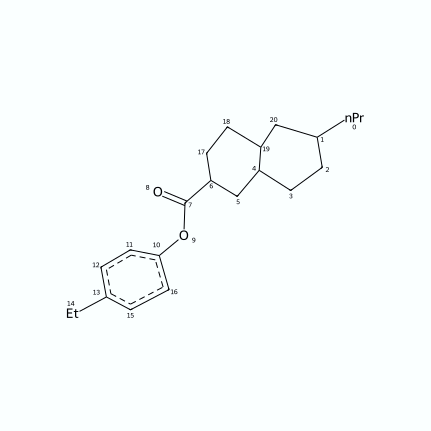 CCCC1CCC2CC(C(=O)Oc3ccc(CC)cc3)CCC2C1